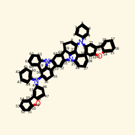 C1=C(N(c2ccccc2)c2ccc3oc4ccccc4c3c2)c2c3n(c4ccccc24)-c2cc4c5ccc(N(c6ccccc6)c6ccc7oc8ccccc8c7c6)c6c7ccccc7n(c4cc2C3C1)c56